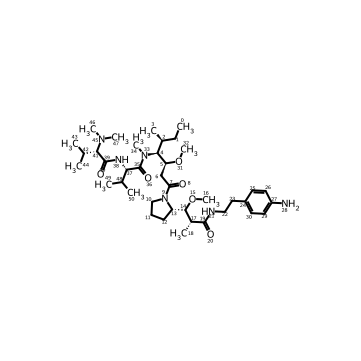 CC[C@H](C)[C@@H]([C@H](CC(=O)N1CCC[C@H]1C(OC)[C@@H](C)C(=O)NCCc1ccc(N)cc1)OC)N(C)C(=O)[C@@H](NC(=O)[C@H](C(C)C)N(C)C)C(C)C